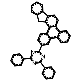 c1ccc(-c2nc(-c3ccccc3)nc(-c3ccc4c(c3)c3ccccc3c3ccc5c(c34)Cc3ccccc3-5)n2)cc1